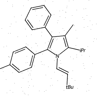 Cc1c(-c2ccccc2)c(-c2ccc(F)cc2)n(/C=C/C(C)(C)C)c1C(C)C